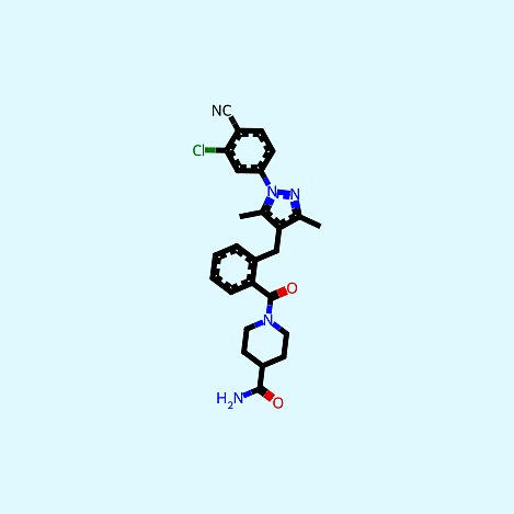 Cc1nn(-c2ccc(C#N)c(Cl)c2)c(C)c1Cc1ccccc1C(=O)N1CCC(C(N)=O)CC1